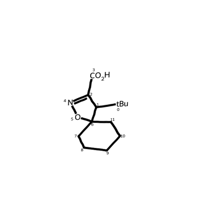 CC(C)(C)C1C(C(=O)O)=NOC12CCCCC2